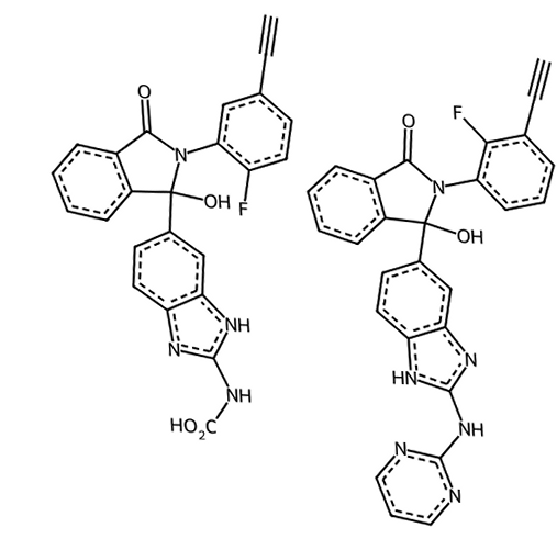 C#Cc1ccc(F)c(N2C(=O)c3ccccc3C2(O)c2ccc3nc(NC(=O)O)[nH]c3c2)c1.C#Cc1cccc(N2C(=O)c3ccccc3C2(O)c2ccc3[nH]c(Nc4ncccn4)nc3c2)c1F